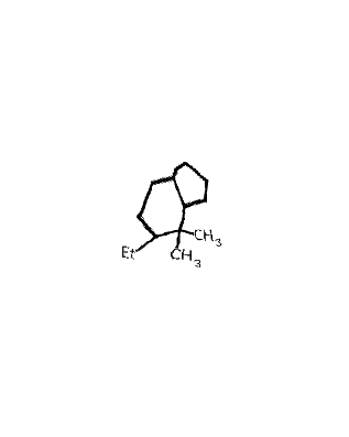 CCC1CCC2CCCC2C1(C)C